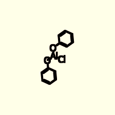 [Cl][Al]([O]c1ccccc1)[O]c1ccccc1